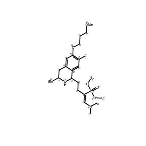 CCOP(=O)(OCC)C(=CN(C)C)CCC1NC(C(C)(C)C)Cc2cc(OCCCOC)c(Cl)cc21